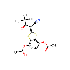 CC(=O)Oc1ccc(OC(C)=O)c2c1SC(=C(C#N)C(=O)C(C)(C)C)S2